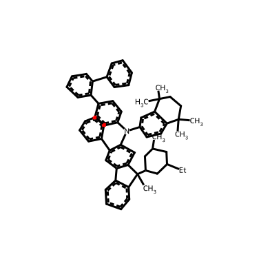 CCC1CC(C)CC(C2(C)c3ccccc3-c3cc(-c4ccccc4)c(N(c4ccc(-c5ccccc5-c5ccccc5)cc4)c4ccc5c(c4)C(C)(C)CCC5(C)C)cc32)C1